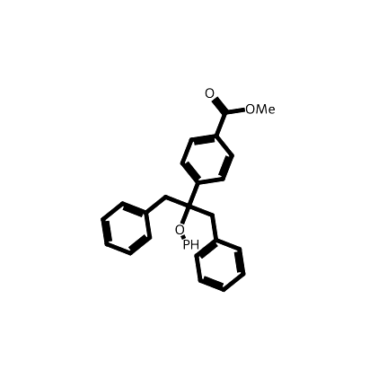 COC(=O)c1ccc(C(Cc2ccccc2)(Cc2ccccc2)O[PH4])cc1